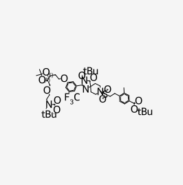 Cc1cc(C(=O)OC(C)(C)C)ccc1CCS(=O)(=O)N1CCC2(CC1)N=C(c1cc(OCC[C@@H]3OC(C)(C)O[C@@H]3COCCN(C)C(=O)OC(C)(C)C)cc(C(F)(F)F)c1)N(OC(C)(C)C)C2=O